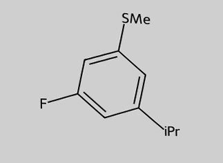 [CH2]C(C)c1cc(F)cc(SC)c1